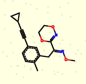 CO/N=C(\Cc1cc(C#CC2CC2)ccc1C)C1=NOCCO1